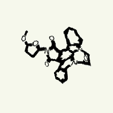 COC1CCC(N2C(=O)c3c(c4c5ccccc5n5c4c4c3c3ccccc3n4C3CCC5O3)C2=O)O1